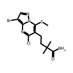 CSc1c(CCC(C)(C)C(N)=O)c(Cl)nc2c(Br)cnn12